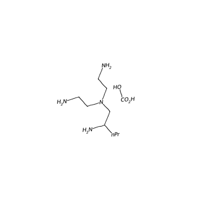 CCCC(N)CN(CCN)CCN.O=C(O)O